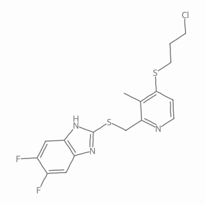 Cc1c(SCCCCl)ccnc1CSc1nc2cc(F)c(F)cc2[nH]1